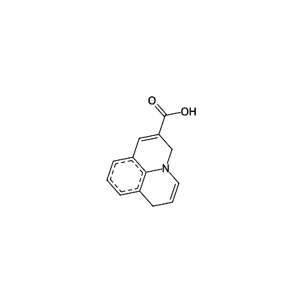 O=C(O)C1=Cc2cccc3c2N(C=CC3)C1